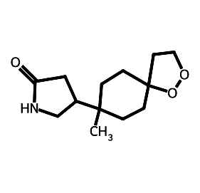 CC1(C2CNC(=O)C2)CCC2(CCOO2)CC1